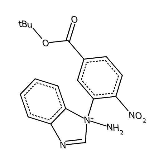 CC(C)(C)OC(=O)c1ccc([N+](=O)[O-])c([N+]2(N)C=Nc3ccccc32)c1